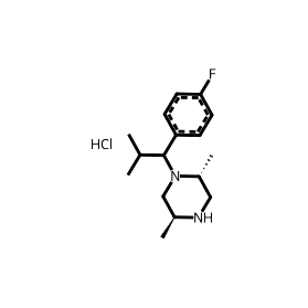 CC(C)C(c1ccc(F)cc1)N1C[C@H](C)NC[C@H]1C.Cl